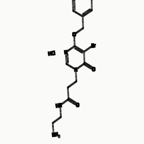 Cl.NCCNC(=O)CCn1cnc(OCc2ccccc2)c(Br)c1=O